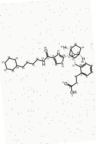 O=C(O)CCc1ccccc1C[C@@H]1[C@H](c2nc(C(=O)NCCCCC3CCCCC3)cs2)[C@H]2CC[C@@H]1O2